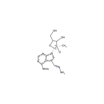 CC(=O)Nc1ncnc2c1c(/C=N/N)cn2[C@@H]1OC(CO)C(O)[C@@]1(C)Cl